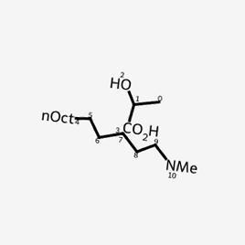 CC(O)C(=O)O.CCCCCCCCCCCCCNC